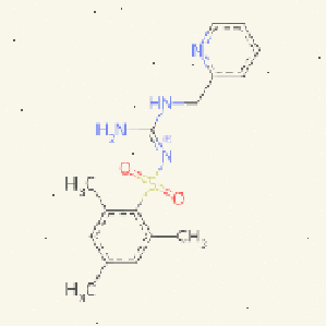 Cc1cc(C)c(S(=O)(=O)/N=C(\N)NCc2ccccn2)c(C)c1